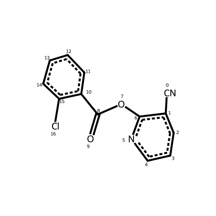 N#Cc1cccnc1OC(=O)c1ccccc1Cl